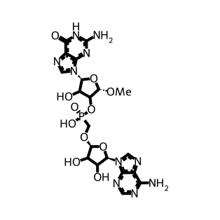 CO[C@H]1O[C@@H](n2cnc3c(=O)[nH]c(N)nc32)C(O)C1OP(=O)(O)CO[C@H]1O[C@@H](n2cnc3c(N)ncnc32)C(O)C1O